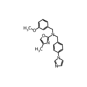 COc1cccc(CN(Cc2ccc(-n3ccnc3)cc2)c2nc(C)co2)c1